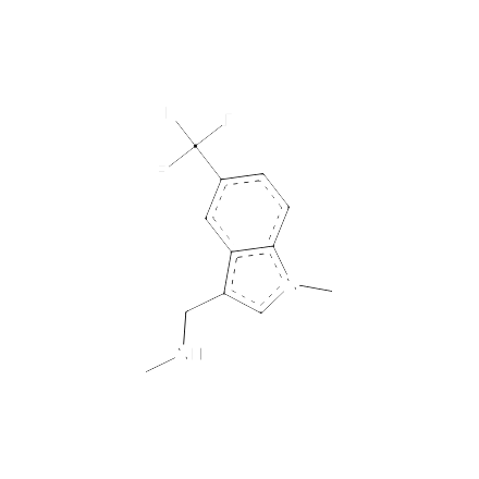 CNCc1cn(C)c2ccc(C(F)(F)F)cc12